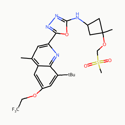 Cc1cc(-c2nnc(NC3CC(C)(OCS(C)(=O)=O)C3)o2)nc2c(C(C)(C)C)cc(OCC(F)(F)F)cc12